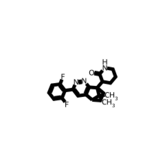 CC1(C)C2CCC1(C1CCCNC1=O)c1nnc(-c3c(F)cccc3F)cc12